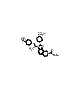 COC(=O)N1CCc2ccc3c(nc([C@H]4CC[C@H](C(=O)O)CC4)n3[C@H](C)C[C@H]3CC[C@H](OC(F)(F)F)CC3)c2C1